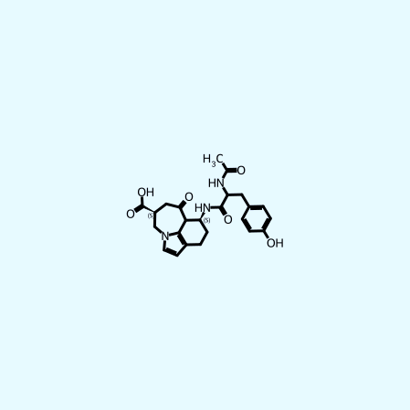 CC(=O)NC(Cc1ccc(O)cc1)C(=O)N[C@H]1CCc2ccn3c2C1C(=O)C[C@H](C(=O)O)C3